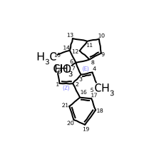 C/C=C(\C(=C/C)C1(O)C2=CCC(C2)CC1C)c1ccccc1